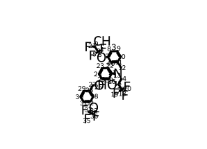 CC(F)C(F)(F)Oc1cccc(CN(C[C@@H](O)C(F)(F)F)c2cccc(OCc3cccc(OC(F)(F)F)c3)c2)c1